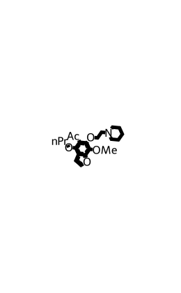 CCCOc1c(C(C)=O)c(OCCN2CCCCC2)c(OC)c2occc12